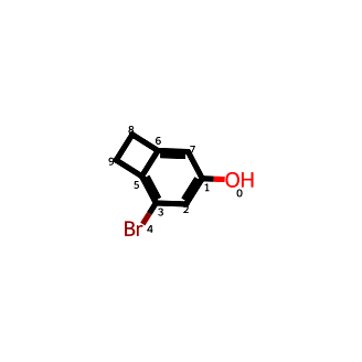 Oc1cc(Br)c2c(c1)CC2